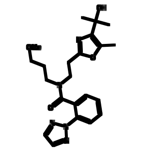 COCCCN(CCc1nc(C(C)(C)O)c(C)o1)C(=O)c1ccccc1-n1nccn1